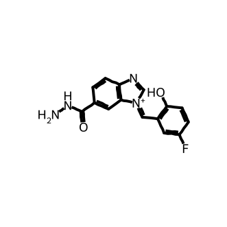 NNC(=O)c1ccc2c(c1)[N+](=Cc1cc(F)ccc1O)C=N2